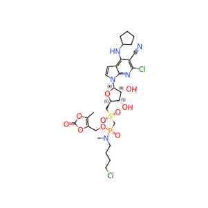 Cc1oc(=O)oc1COP(=O)(CS(=O)(=O)C[C@H]1O[C@@H](n2ccc3c(NC4CCCC4)c(C#N)c(Cl)nc32)[C@H](O)[C@@H]1O)N(C)CCCCCl